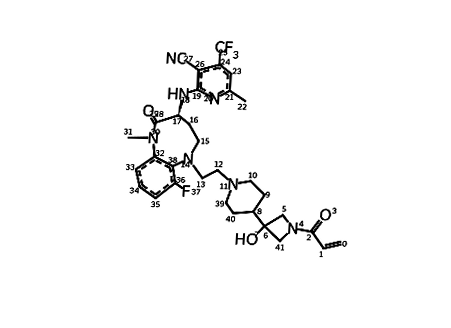 C=CC(=O)N1CC(O)(C2CCN(CCN3CC[C@H](Nc4nc(C)cc(C(F)(F)F)c4C#N)C(=O)N(C)c4cccc(F)c43)CC2)C1